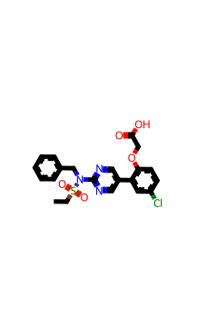 CCS(=O)(=O)N(Cc1ccccc1)c1ncc(-c2cc(Cl)ccc2OCC(=O)O)cn1